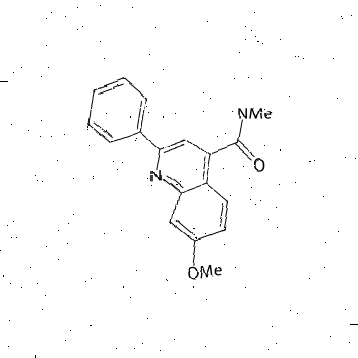 CNC(=O)c1cc(-c2ccccc2)nc2cc(OC)ccc12